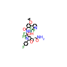 NC(=O)C[C@@H]1COc2c1cc(C(O)(CNC(=O)c1ccc(OC3CC3)c(-c3cccnc3C(F)(F)F)c1)C(F)(F)F)nc2-c1ccc(F)cc1